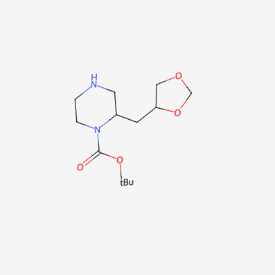 CC(C)(C)OC(=O)N1CCNCC1CC1COCO1